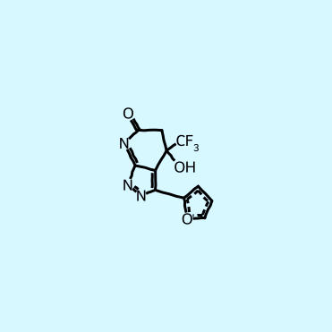 O=C1CC(O)(C(F)(F)F)C2=C(c3ccco3)N=NC2=N1